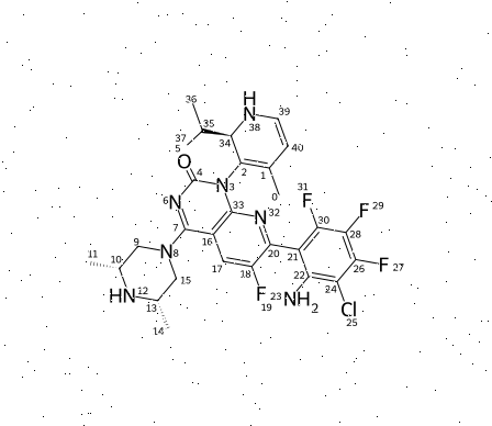 CC1=C(n2c(=O)nc(N3C[C@@H](C)N[C@@H](C)C3)c3cc(F)c(-c4c(N)c(Cl)c(F)c(F)c4F)nc32)[C@@H](C(C)C)NC=C1